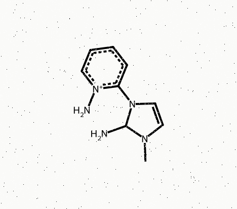 CN1C=CN(c2cccc[n+]2N)C1N